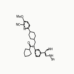 COc1ccc(C2CCC(CN(C(=O)C3CCCCC3)c3cccc(/C(C=N)=C/NC(C)C)c3)CC2)nc1C#N